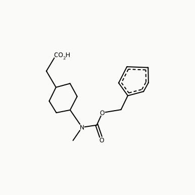 CN(C(=O)OCc1ccccc1)C1CCC(CC(=O)O)CC1